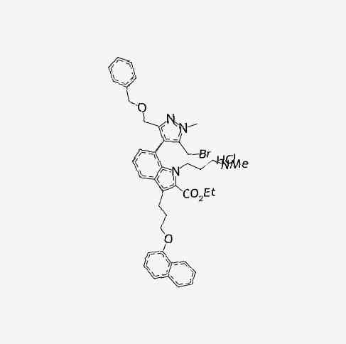 CCOC(=O)c1c(CCCOc2cccc3ccccc23)c2cccc(-c3c(COCc4ccccc4)nn(C)c3CBr)c2n1CCCNC.Cl